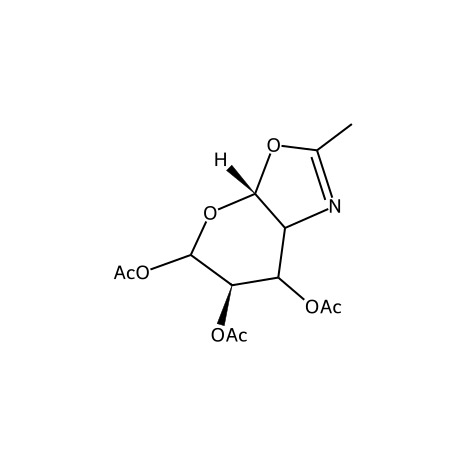 CC(=O)OC1O[C@@H]2OC(C)=NC2C(OC(C)=O)[C@H]1OC(C)=O